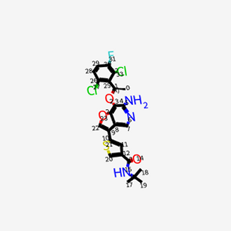 C[C@@H](Oc1c(N)ncc2c(-c3cc(C(=O)NC(C)(C)C)cs3)coc12)c1c(Cl)ccc(F)c1Cl